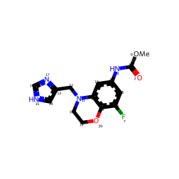 COC(=O)Nc1cc(F)c2c(c1)N(Cc1c[nH]cn1)CCO2